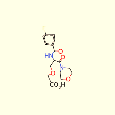 O=C(O)COCC(NC(=O)c1ccc(F)cc1)C(=O)N1CCOCC1